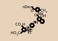 CCCCCCCCCCCC(=O)c1ccc(C)c(NC(=O)c2cc(N=Nc3ccc(S(=O)(=O)N(CC)c4cc(CC(=O)O)cc(CC(=O)O)c4)cc3)c3ccccc3c2O)c1